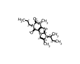 CCCn1c(=O)c2c(nc3n(C(C)CC)c(C)cn23)n(C)c1=O